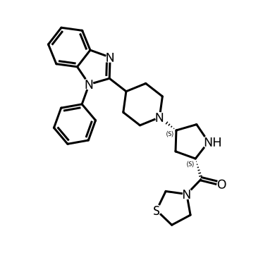 O=C([C@@H]1C[C@H](N2CCC(c3nc4ccccc4n3-c3ccccc3)CC2)CN1)N1CCSC1